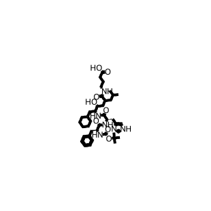 CC(C)CC(CC(O)C(CC1CCCCC1)NC(=O)[C@H](Cc1c[nH]cn1)NC(=O)[C@H](Cc1ccccc1)NC(=O)OC(C)(C)C)C(=O)NCCCC(=O)O